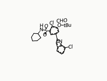 CC(C)(C)OC=O.O=S(=O)(NC1CCCCC1)c1cc(-c2c3c4cccc(Cl)c4n2-3)ccc1Cl